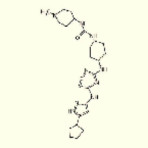 CN1CCC(NC(=O)N[C@H]2CC[C@H](Nc3nccc(Nc4cc(C5CCCC5)[nH]n4)n3)CC2)CC1